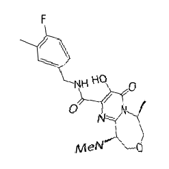 CN[C@@H]1COC[C@H](C)n2c1nc(C(=O)NCc1ccc(F)c(C)c1)c(O)c2=O